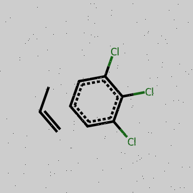 C=CC.Clc1cccc(Cl)c1Cl